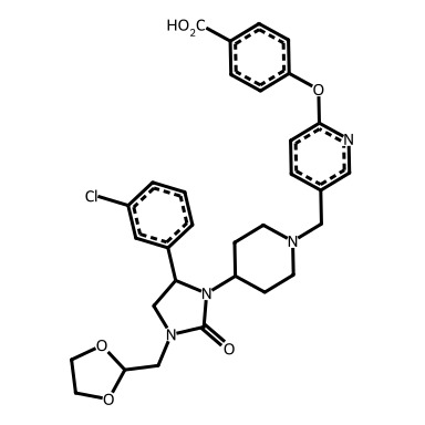 O=C(O)c1ccc(Oc2ccc(CN3CCC(N4C(=O)N(CC5OCCO5)CC4c4cccc(Cl)c4)CC3)cn2)cc1